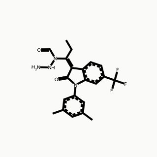 CC/C(=C1/C(=O)N(c2cc(C)cc(C)c2)c2cc(C(F)(F)F)ccc21)N(C=O)NN